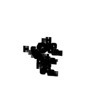 Cn1ncc(NC(=O)c2nc(Br)sc2NC(=O)OC(C)(C)C)c1N1CCC(F)C(NC(=O)OC(C)(C)C)CC1